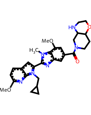 COc1ccc2cc(-c3nc4cc(C(=O)N5CCC6OCCNC6C5)cc(OC)c4n3C)n(CC3CC3)c2n1